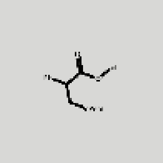 CCCCCCC(CC)C(=O)OS